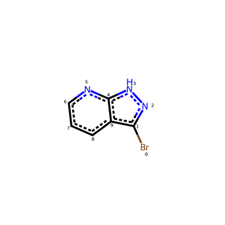 Brc1n[nH]c2ncccc12